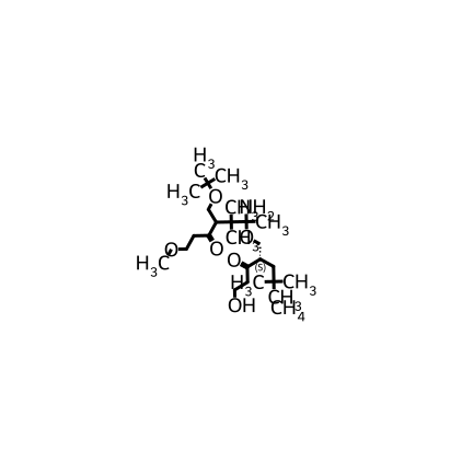 C.COCCC(=O)C(COC(C)(C)C)C(C)(C)C(C)(N)OC[C@H](CC(C)(C)C)C(=O)CCO